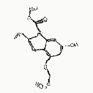 CC(C)c1nc2c(OCC(=O)O)cc(O)cc2n1C(=O)OC(C)(C)C